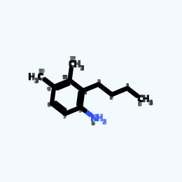 CCCCc1c(N)ccc(C)c1C